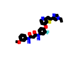 CCn1cnc(-c2cc3nccc(Oc4ccc(NC(=O)CC(=O)Nc5cccc(OC)c5)cc4F)c3s2)c1